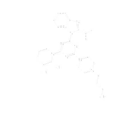 C[C@@H]1OCCN(c2nc(N3CCN(CCCO)CC3)nc(-n3c(C(F)F)nc4ccccc43)n2)[C@@H]1C